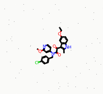 CCOc1ccc2[nH]c(C)c(C(=O)C(=O)N(Cc3ccc(Cl)cc3)c3ccnc(OC)c3)c2c1